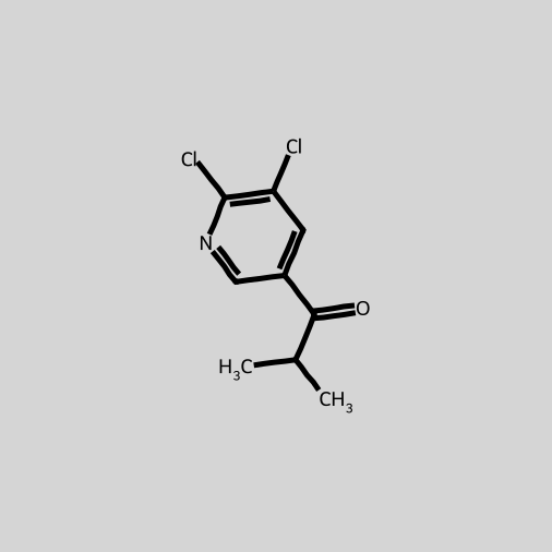 CC(C)C(=O)c1cnc(Cl)c(Cl)c1